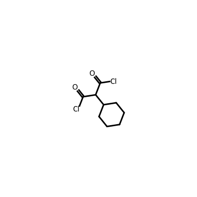 O=C(Cl)C(C(=O)Cl)C1CCCCC1